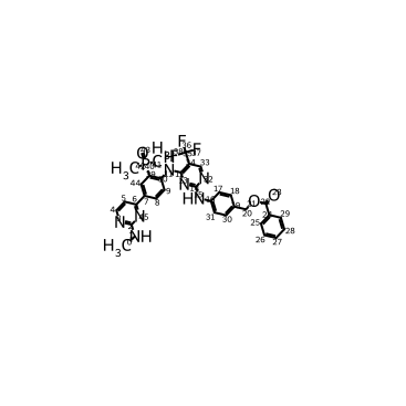 CNc1nccc(-c2ccc(Nc3nc(Nc4ccc(COC(=O)c5ccccc5)cc4)ncc3C(F)(F)F)c(P(C)(C)=O)c2)n1